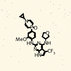 COc1cc(P2(=O)C=CN(C3CC3)C=C2)ccc1Nc1nc(N[C@H]2CCOC2)c2c(C(F)(F)F)c[nH]c2n1